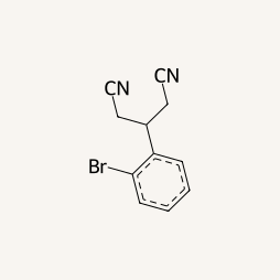 N#CCC(CC#N)c1ccccc1Br